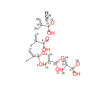 C=C(C)C(=O)O.C=C(C)C(=O)O.C=C(C)C(=O)O.C=C(C)C(=O)O.C=C(C)C(=O)O.[SiH4]